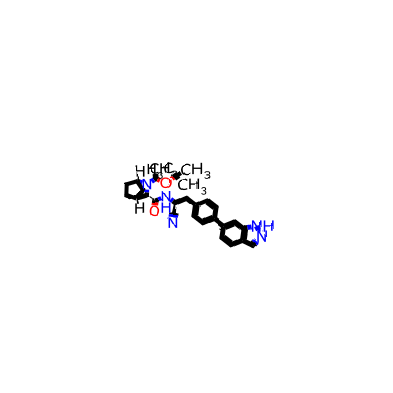 C=C(OC(C)(C)C)N1[C@@H]2CC[C@@H](C2)[C@H]1C(=O)N[C@H](C#N)Cc1ccc(-c2ccc3cn[nH]c3c2)cc1